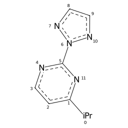 CC(C)c1ccnc(-n2nccn2)n1